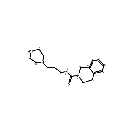 O=C(NCCCN1CCNCC1)N1CCc2ccccc2C1